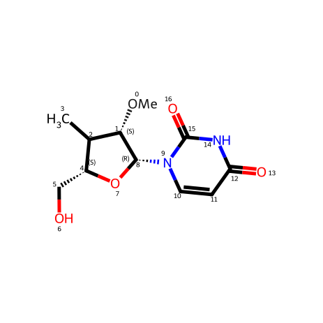 CO[C@H]1C(C)[C@@H](CO)O[C@H]1n1ccc(=O)[nH]c1=O